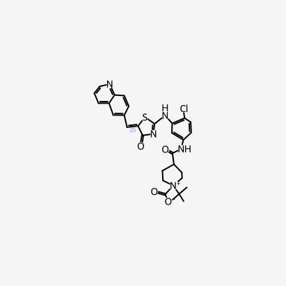 CC(C)(C)[N+]1(C(=O)[O-])CCC(C(=O)Nc2ccc(Cl)c(NC3=NC(=O)/C(=C/c4ccc5ncccc5c4)S3)c2)CC1